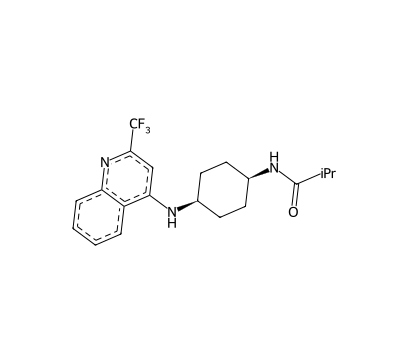 CC(C)C(=O)N[C@H]1CC[C@@H](Nc2cc(C(F)(F)F)nc3ccccc23)CC1